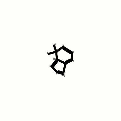 CC1(C)C=CC=C2N=CC=C21